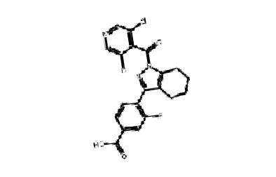 O=C(O)c1ccc(-c2nn(C(=O)c3c(Cl)cncc3Cl)c3c2CCCC3)c(F)c1